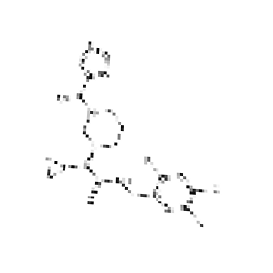 Cc1cc(CNC(=O)N(C2CC2)[C@@H]2CCCN(C(=O)c3cncs3)C2)c(F)cc1Cl